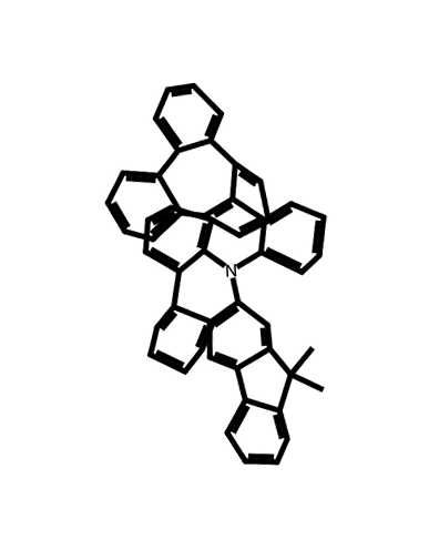 CC1(C)c2ccccc2-c2ccc(N(c3ccccc3-c3ccccc3)c3ccccc3-c3c4cccc3-c3ccccc3-c3ccccc3-4)cc21